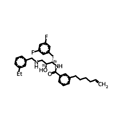 C=CCCCCc1cccc(C(=O)N[C@@H](Cc2cc(F)cc(F)c2)[C@@H](O)CNCc2cccc(CC)c2)c1